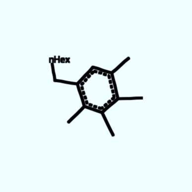 [CH2]CCCCCCc1cc(C)c(C)c(C)c1C